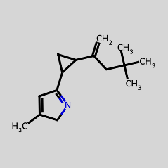 C=C(CC(C)(C)C)C1CC1C1=NCC(C)=C1